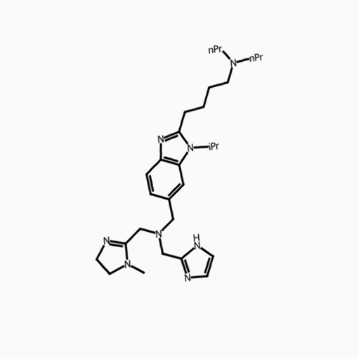 CCCN(CCC)CCCCc1nc2ccc(CN(CC3=NCCN3C)Cc3ncc[nH]3)cc2n1C(C)C